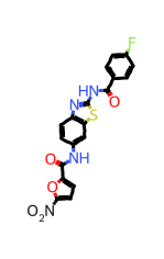 O=C(Nc1nc2ccc(NC(=O)c3ccc([N+](=O)[O-])o3)cc2s1)c1ccc(F)cc1